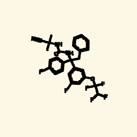 CC(C)(C#N)NC(=O)NC(Cc1ccccc1)(c1ccc(F)cc1)c1cc(F)cc(OC(F)(F)C(F)F)c1